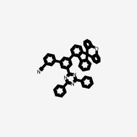 N#Cc1cccc(-c2cc(-c3nc(-c4ccccc4)nc(-c4ccccc4)n3)cc(-c3cccc4c3-c3ccccc3C43c4ccccc4Oc4ccccc43)c2)c1